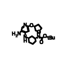 CC(C)(C)OC(=O)N[C@H]1CCC[C@@H](Nc2cc(O[C@H]3CCOC3)ncc2N)C1